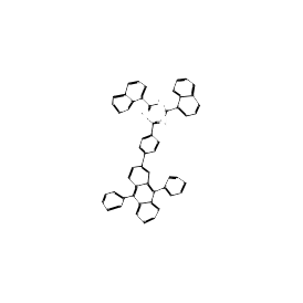 c1ccc(-c2c3ccccc3c(-c3ccccc3)c3cc(-c4ccc(-c5nc(-c6cccc7ccccc67)nc(-c6cccc7ccccc67)n5)cc4)ccc23)cc1